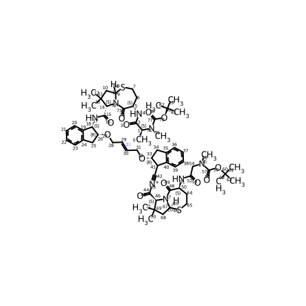 C[C@@H](C(=O)N[C@H]1CCS[C@H]2CC(C)(C)[C@@H](C(=O)N[C@H]3c4ccccc4C[C@H]3OC/C=C/CO[C@@H]3Cc4ccccc4C3C#[N+]C(=O)[C@H]3N4C(=O)[C@@H](NC(=O)CN(C)C(=O)OC(C)(C)C)CCS[C@H]4CC3(C)C)N2C1=O)N(C)C(=O)OC(C)(C)C